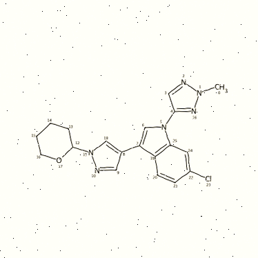 Cn1ncc(-n2cc(-c3cnn(C4CCCCO4)c3)c3ccc(Cl)cc32)n1